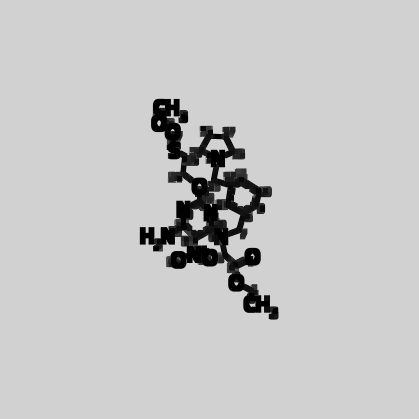 CCOC(=O)CN(Cc1cccc(CN2CCCC2)c1)c1nc(OCCSOOC)nc(N)c1[N+](=O)[O-]